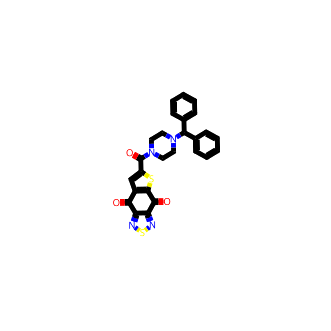 O=C1c2cc(C(=O)N3CCN(C(c4ccccc4)c4ccccc4)CC3)sc2C(=O)c2nsnc21